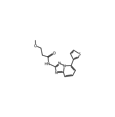 COCCC(=O)Nc1nc2cccc(-c3ccsc3)n2n1